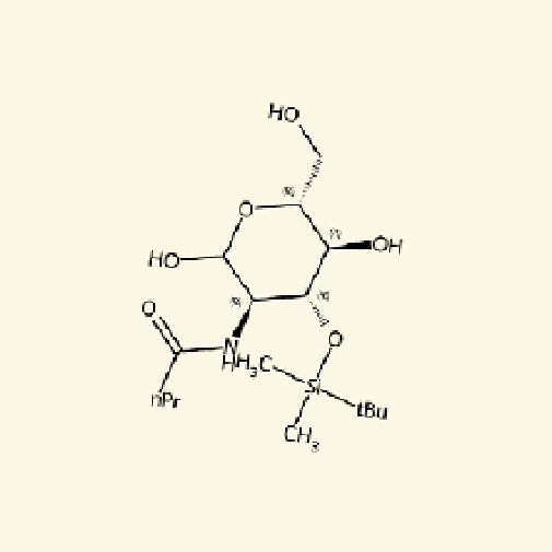 CCCC(=O)N[C@H]1C(O)O[C@H](CO)[C@@H](O)[C@@H]1O[Si](C)(C)C(C)(C)C